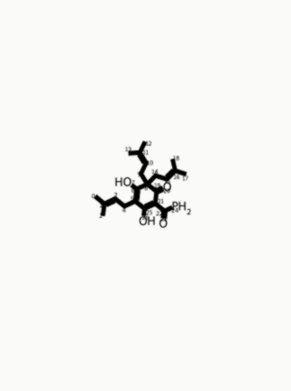 CC(C)=CCC1=C(O)C(CC=C(C)C)(CC=C(C)C)C(=O)C(C(=O)P)=C1O